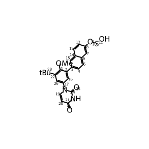 COc1c(-c2ccc3cc(OSO)ccc3c2)cc(-n2ccc(=O)[nH]c2=O)cc1C(C)(C)C